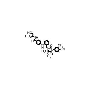 CC1(C)C(=O)N(c2ccc(C#N)c(C(F)(F)F)c2)C(=O)N1Cc1ccccc1Nc1ccc(C(=O)NC(CO)CO)cc1